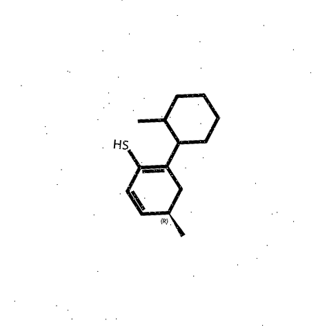 CC1CCCCC1C1=C(S)C=C[C@H](C)C1